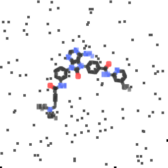 CN(C)CC#CC(=O)Nc1cccc(-n2c(=O)n(-c3ccc(C(=O)Nc4cc(C(F)(F)F)ccn4)cc3)c3c(N)ncnc32)c1